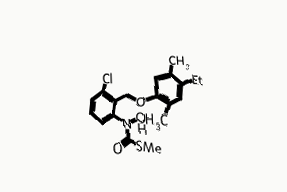 CCc1cc(C)c(OCc2c(Cl)cccc2N(O)C(=O)SC)cc1C